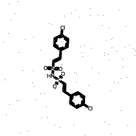 O=S(=O)(/C=C/c1ccc(Cl)cc1)NS(=O)(=O)/C=C/c1ccc(Cl)cc1